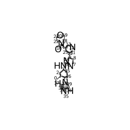 Cc1cc(Nc2nccc(-c3cncc(C(=O)N4CCOCC4)c3)n2)ccc1N1C[C@@H]2C[C@H]1CN2C